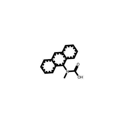 CN(C(=O)O)c1c2ccccc2cc2ccccc12